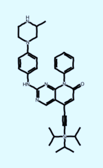 CC1CN(c2ccc(Nc3ncc4c(C#C[Si](C(C)C)(C(C)C)C(C)C)cc(=O)n(-c5ccccc5)c4n3)cc2)CCN1